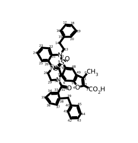 Cc1c(C(=O)O)oc2ccc(S(=O)(=O)N(CCc3ccccc3)c3ccccc3N3CCN(C(=O)c4ccccc4Cc4ccccc4)CC3)cc12